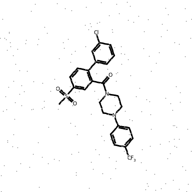 CS(=O)(=O)c1ccc(-c2cccc(Cl)c2)c(C(=O)N2CCN(c3ccc(C(F)(F)F)cc3)CC2)c1